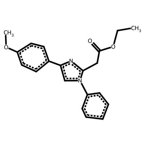 CCOC(=O)Cc1nc(-c2ccc(OC)cc2)cn1-c1ccccc1